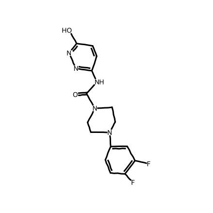 O=C(Nc1ccc(O)nn1)N1CCN(c2ccc(F)c(F)c2)CC1